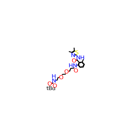 Cc1cccc(NC(=O)CCOCCOCCNC(=O)OC(C)(C)C)c1C(=O)Nc1nc(C)c(C)s1